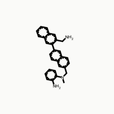 CN(Cc1ccc2cc(-c3cc4ccccc4cc3CN)ccc2c1)c1ccccc1N